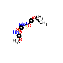 CCCCC(C)Oc1ccc(C(=O)NC(=S)Nc2ccc(S(=O)(=O)Nc3ccc(OC)cc3)cc2)cc1